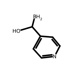 BC(O)c1ccncc1